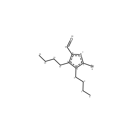 CCCCc1c(Br)sc(C=O)c1CCCC